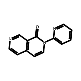 O=c1c2cnccc2ccn1-c1ccccn1